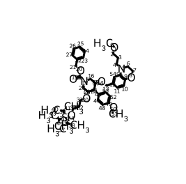 COCCCN1CCOc2ccc(CO[C@H]3CN(C(=O)OCc4ccccc4)C[C@@H](OCCCO[Si](C(C)C)(C(C)C)C(C)C)[C@@H]3c3ccc(OC)cc3)cc21